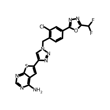 Nc1ncnc2sc(-c3cn(Cc4ccc(-c5nnc(C(F)F)o5)cc4Cl)nn3)cc12